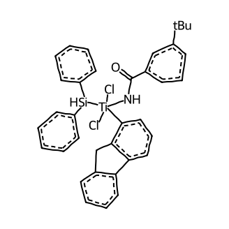 CC(C)(C)c1cccc(C(=O)[NH][Ti]([Cl])([Cl])([c]2cccc3c2Cc2ccccc2-3)[SiH](c2ccccc2)c2ccccc2)c1